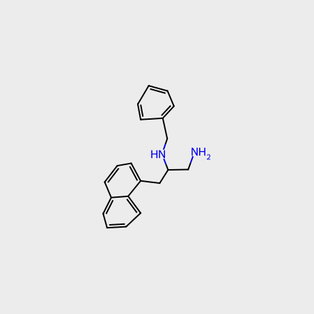 NCC(Cc1cccc2ccccc12)NCc1ccccc1